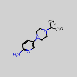 CC(C=O)N1CCN(c2ccc(N)nc2)CC1